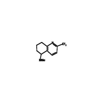 CNC1CCCc2nc(C(F)(F)F)ccc21